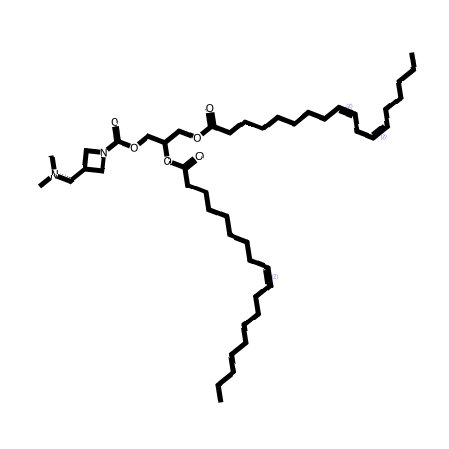 CCCCC/C=C\C/C=C\CCCCCCCC(=O)OCC(COC(=O)N1CC(CN(C)C)C1)OC(=O)CCCCCCC/C=C\CCCCCCCC